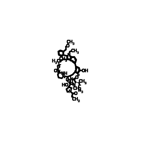 C=CC(=O)N1CC[C@](O)(C(=O)N(C)[C@H](C(=O)N[C@H]2Cc3cc(cc(O)c3F)-c3ccc4c(c3)c(c(-c3ccccc3CCOC)n4CC)CC(C)(C)COC(=O)[C@@H]3CCCN(N3)C2=O)C(C)C)C1